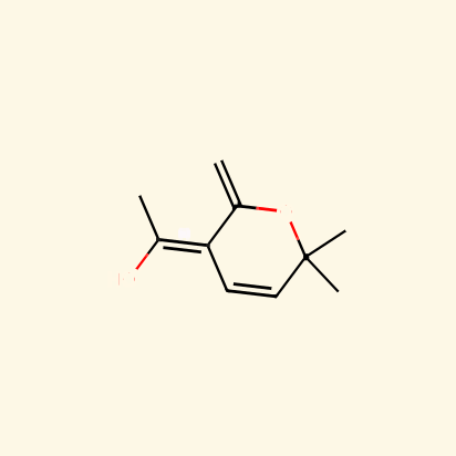 C=C1OC(C)(C)C=C/C1=C(/C)O